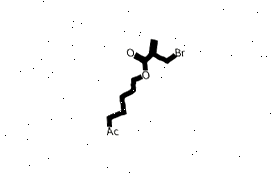 C=C(CBr)C(=O)OCCCCCC(C)=O